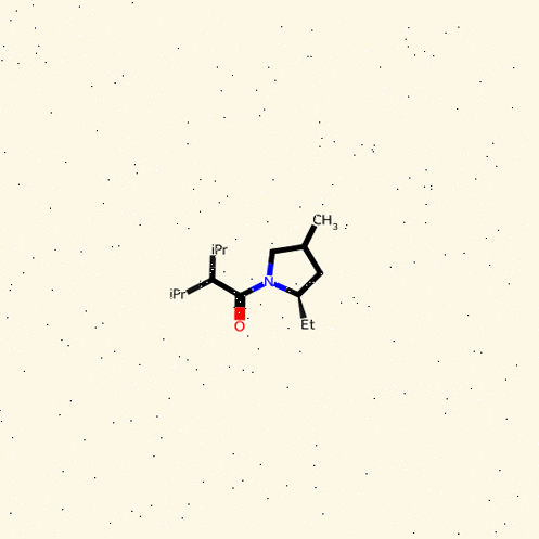 CC[C@@H]1CC(C)CN1C(=O)C(C(C)C)C(C)C